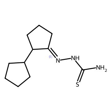 NC(=S)N/N=C1\CCCC1C1CCCC1